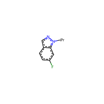 CC(C)n1ncc2ccc(F)cc21